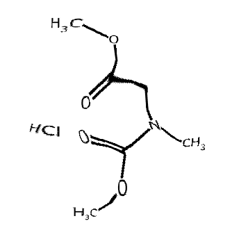 COC(=O)CN(C)C(=O)OC.Cl